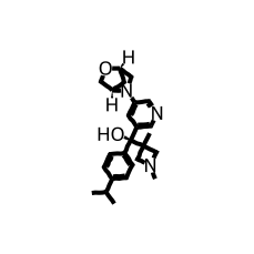 CC(C)c1ccc([C@](O)(c2cncc(N3C[C@H]4C[C@@H]3CO4)c2)C2(C)CN(C)C2)cc1